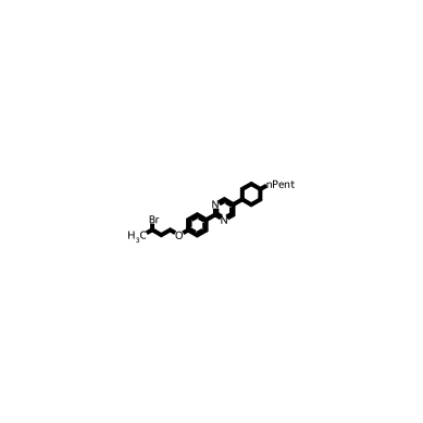 CCCCCC1CCC(c2cnc(-c3ccc(OCCC(C)Br)cc3)nc2)CC1